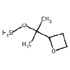 CC(C)(O[SiH3])C1CCO1